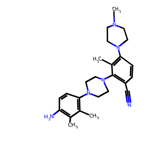 Cc1c(N)ccc(N2CCN(c3c(C#N)ccc(N4CCN(C)CC4)c3C)CC2)c1C